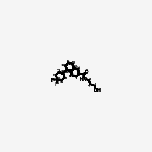 O=C(NCCCO)c1cnc2c(C3=CCC(F)(F)CC3)cccc2c1